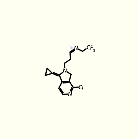 FC(F)(F)C/N=C\CCN1Cc2c(ccnc2Cl)C1=C1CC1